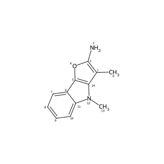 Cc1c(N)oc2c3ccccc3n(C)c12